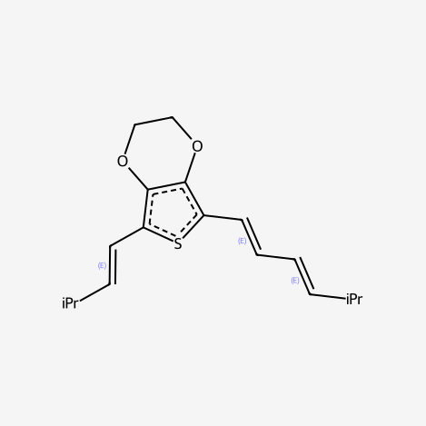 CC(C)/C=C/C=C/c1sc(/C=C/C(C)C)c2c1OCCO2